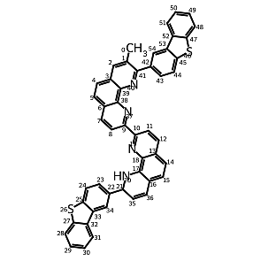 Cc1cc2ccc3ccc(-c4ccc5ccc6c(c5n4)NC(c4ccc5sc7ccccc7c5c4)C=C6)nc3c2nc1-c1ccc2sc3ccccc3c2c1